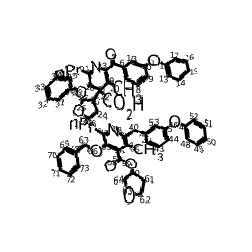 CCCC1=NC(C(=O)c2cccc(Oc3ccccc3)c2)=C(C)C(C(=O)O)(C2CCOC2)C1Oc1ccccc1.CCCc1nc(Cc2cccc(Oc3ccccc3)c2)c(C)c(C(=O)OC2CCOC2)c1OCc1ccccc1